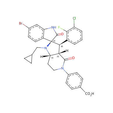 O=C(O)c1ccc(N2CC[C@H]3[C@@H](C2=O)[C@H](c2cccc(Cl)c2F)[C@]2(C(=O)Nc4cc(Br)ccc42)N3CC2CC2)cc1